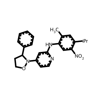 Cc1cc(C(C)C)c([N+](=O)[O-])cc1Nc1cc(N2OCCC2c2ccccc2)ccn1